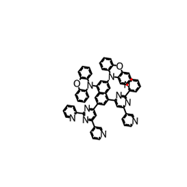 c1ccc(-c2nc(-c3cccnc3)cc(-c3cc(-c4cc(-c5cccnc5)nc(-c5ccccn5)n4)c4cc(N5c6ccccc6Oc6ccccc65)cc(N5c6ccccc6Oc6ccccc65)c4c3)n2)nc1